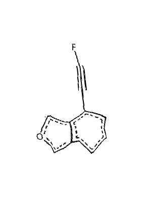 FC#Cc1cccc2co[c]c12